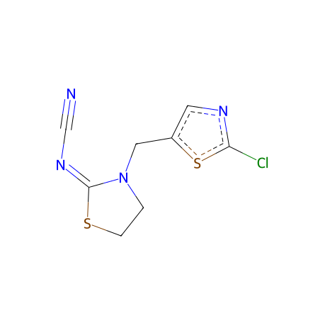 N#CN=C1SCCN1Cc1cnc(Cl)s1